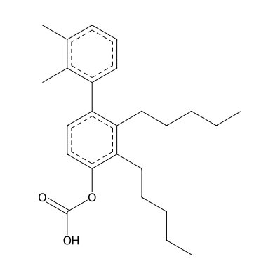 CCCCCc1c(OC(=O)O)ccc(-c2cccc(C)c2C)c1CCCCC